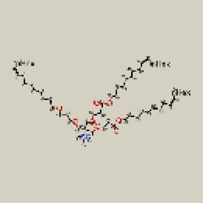 CCCCCC/C=C\CCCCCCCCOCCCOCC(COCCC(=O)OCCCCCCCC/C=C\CCCCCC)(COCCC(=O)OCCCCCCCC/C=C\CCCCCC)[N+](C)(C)C